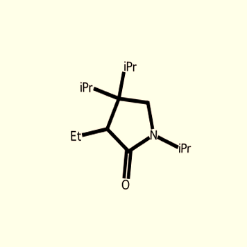 CCC1C(=O)N(C(C)C)CC1(C(C)C)C(C)C